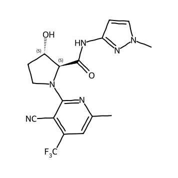 Cc1cc(C(F)(F)F)c(C#N)c(N2CC[C@H](O)[C@H]2C(=O)Nc2ccn(C)n2)n1